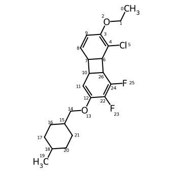 CCOC1=C(Cl)C2C(C=C1)C1C=C(OCC3CCC(C)CC3)C(F)=C(F)C12